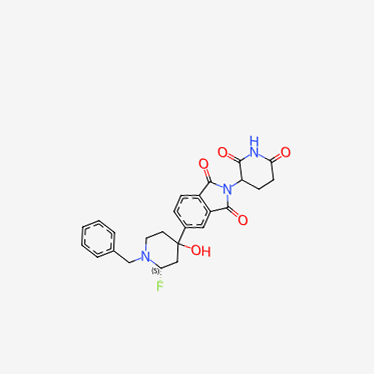 O=C1CCC(N2C(=O)c3ccc(C4(O)CCN(Cc5ccccc5)[C@@H](F)C4)cc3C2=O)C(=O)N1